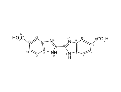 O=C(O)c1ccc2[nH]c(-c3nc4cc(C(=O)O)ccc4[nH]3)nc2c1